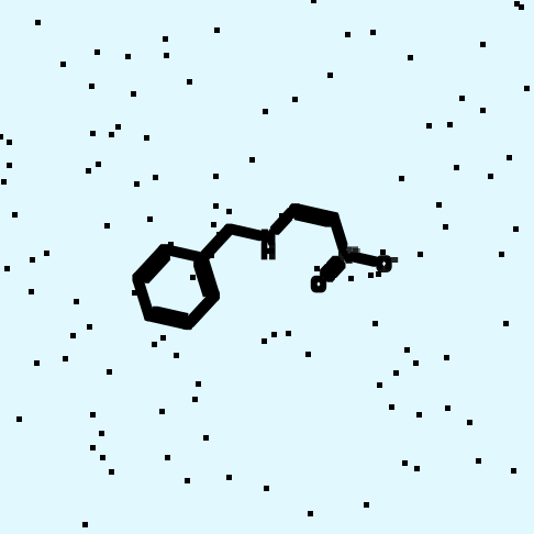 O=[N+]([O-])/C=C\NCc1ccccc1